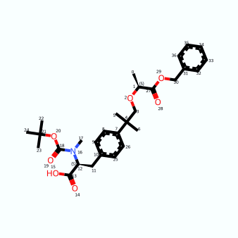 C[C@H](OCC(C)(C)c1ccc(C[C@@H](C(=O)O)N(C)C(=O)OC(C)(C)C)cc1)C(=O)OCc1ccccc1